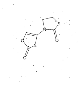 O=C1[N]C(N2CCSC2=O)=CO1